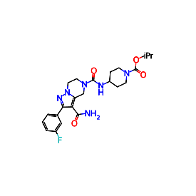 CC(C)OC(=O)N1CCC(NC(=O)N2CCn3nc(-c4cccc(F)c4)c(C(N)=O)c3C2)CC1